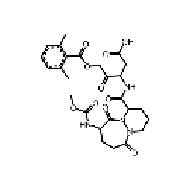 COC(=O)NC1CCC(=O)N2CCCC(C(=O)NC(CC(=O)O)C(=O)COC(=O)c3c(C)cccc3C)N2C1=O